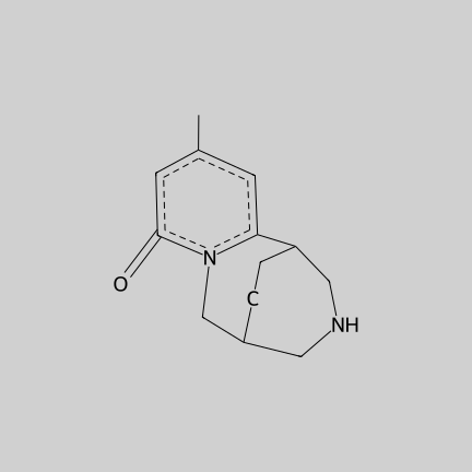 Cc1cc2n(c(=O)c1)CC1CCC2CNC1